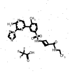 Cc1ccc(S(=O)(=O)NC23CC(C(=O)NCC(F)(F)F)(C2)C3)cc1-c1cnc(N)c(-n2cncn2)n1.O=C(O)C(F)(F)F